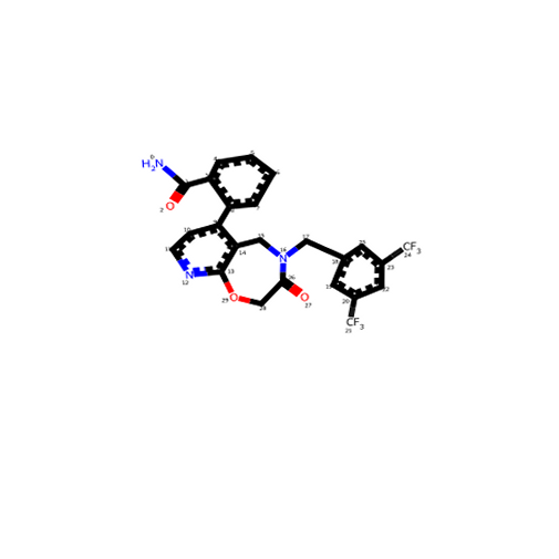 NC(=O)c1ccccc1-c1ccnc2c1CN(Cc1cc(C(F)(F)F)cc(C(F)(F)F)c1)C(=O)CO2